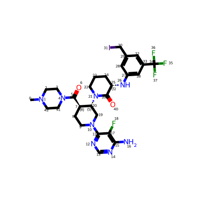 CN1CCN(C(=O)[C@@H]2CCN(c3ncnc(N)c3F)C[C@H]2N2CCC[C@H](Nc3cc(CI)cc(C(F)(F)F)c3)C2=O)CC1